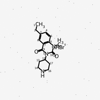 Br.CCc1ccc2c(c1)c(=O)n(C1CCNCC1)c(=O)n2C